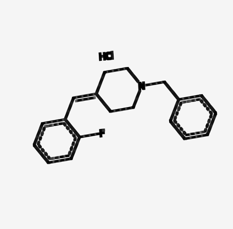 Cl.Fc1ccccc1C=C1CCN(Cc2ccccc2)CC1